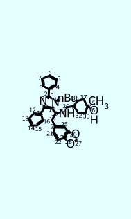 CCCCn1c(-c2ccccc2)nc(-c2ccccc2)c1C(Cc1ccc2c(c1)OCO2)NCC1CCC(C)(O)CC1